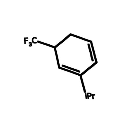 CC(C)C1=CC(C(F)(F)F)CC=C1